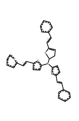 C1=C(/C=C/c2ccccc2)SC(P(c2ccc(/C=C/c3ccccc3)s2)c2ccc(/C=C/c3ccccc3)s2)C1